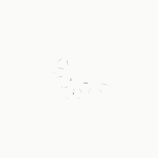 COc1ccc2c(c1)c(NC1=NC(C)Nc3[nH]c4cc(-c5c(C)noc5C)c(OC)cc4c31)nn2C